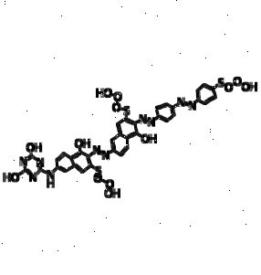 OOOSc1ccc(N=Nc2ccc(N=Nc3c(SOOO)cc4cc(N=Nc5c(SOOO)cc6cc(Nc7nc(O)nc(O)n7)ccc6c5O)ccc4c3O)cc2)cc1